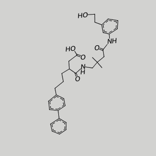 CC(C)(CNC(=O)C(CCCc1ccc(-c2ccccc2)cc1)CC(=O)O)CC(=O)Nc1cccc(CCO)c1